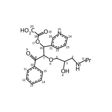 CC(C)NCC(O)COC(C(=O)c1ccccc1)C(OC(=O)C(=O)O)c1cccnc1